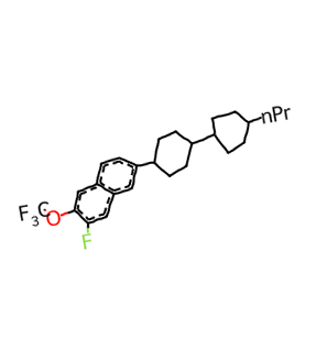 CCCC1CCC(C2CCC(c3ccc4cc(OC(F)(F)F)c(F)cc4c3)CC2)CC1